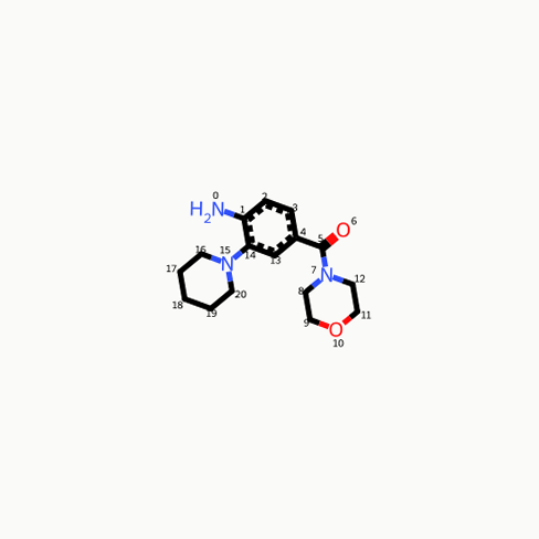 Nc1ccc(C(=O)N2CCOCC2)cc1N1CCCCC1